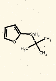 C[C](C)(C)[SnH2][c]1ccco1